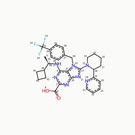 C[C@@H](Nc1nc(C(=O)O)nc2nc(N3CCCCC3c3ccccn3)n(Cc3ccc(C(F)(F)F)cc3)c12)C1CCC1